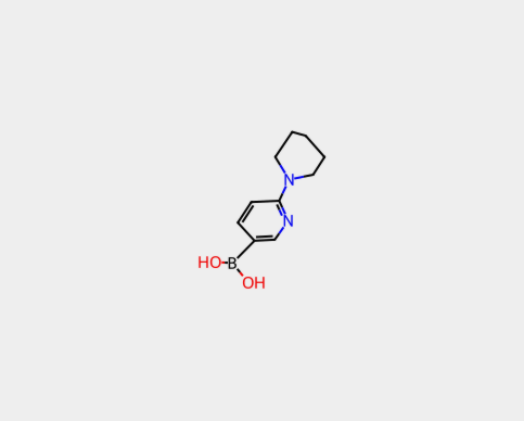 OB(O)c1ccc(N2CCCCC2)nc1